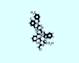 Cc1ccc(CNC(=O)[C@H](Cc2ccc(F)cc2)NC(=O)[C@H](Cc2c[nH]c3ccccc23)NC(=O)[C@@H]2CCCCN2C(=O)[C@H](CCC(=O)O)NC(=O)CCl)cc1